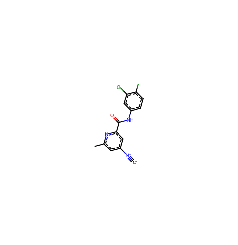 [C-]#[N+]c1cc(C)nc(C(=O)Nc2ccc(F)c(Cl)c2)c1